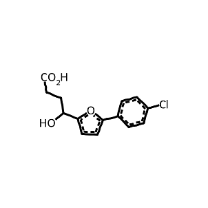 O=C(O)CCC(O)c1ccc(-c2ccc(Cl)cc2)o1